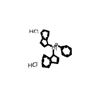 C1=C[CH]([Hf](=[P]c2ccccc2)[CH]2C=Cc3ccccc32)c2ccccc21.Cl.Cl